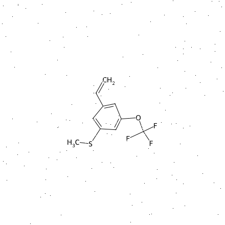 C=[C]c1cc(OC(F)(F)F)cc(SC)c1